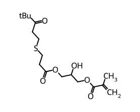 C=C(C)C(=O)OCC(O)COC(=O)CCSCCC(=O)C(C)(C)C